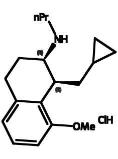 CCCN[C@@H]1CCc2cccc(OC)c2[C@@H]1CC1CC1.Cl